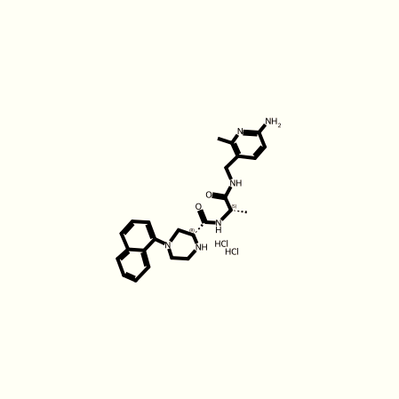 Cc1nc(N)ccc1CNC(=O)[C@H](C)NC(=O)[C@H]1CN(c2cccc3ccccc23)CCN1.Cl.Cl